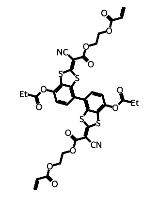 C=CC(=O)OCCOC(=O)/C(C#N)=C1/Sc2c(OC(=O)CC)ccc(-c3ccc(OC(=O)CC)c4c3S/C(=C(/C#N)C(=O)OCCOC(=O)C=C)S4)c2S1